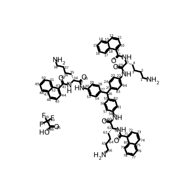 NCCCC[C@@H](NC(=O)c1cccc2ccccc12)C(=O)Nc1ccc(C(c2ccc(NC(=O)[C@@H](CCCCN)NC(=O)c3cccc4ccccc34)cc2)c2ccc(NC(=O)[C@@H](CCCCN)NC(=O)c3cccc4ccccc34)cc2)cc1.O=C(O)C(F)(F)F